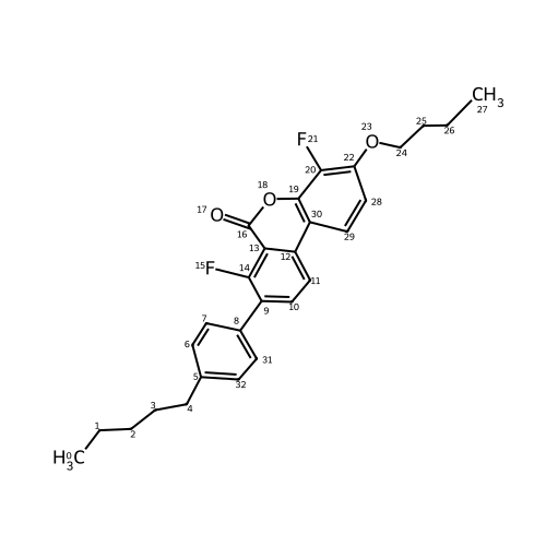 CCCCCc1ccc(-c2ccc3c(c2F)c(=O)oc2c(F)c(OCCCC)ccc23)cc1